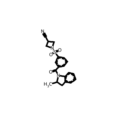 CC1Cc2ccccc2N1C(=O)c1cccc(S(=O)(=O)N2CC(C#N)C2)c1